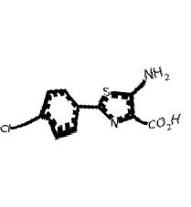 Nc1sc(-c2ccc(Cl)cc2)nc1C(=O)O